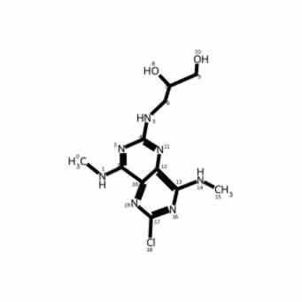 CNc1nc(NCC(O)CO)nc2c(NC)nc(Cl)nc12